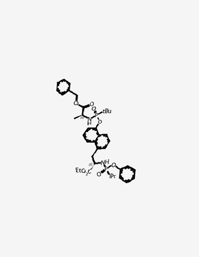 CCOC(=O)[C@H](Cc1cccc2c(OP(=O)(N[C@@H](C)C(=O)OCc3ccccc3)C(C)(C)C)cccc12)NP(=O)(Oc1ccccc1)C(C)C